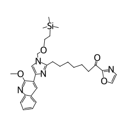 COc1nc2ccccc2cc1-c1cn(COCC[Si](C)(C)C)c(CCCCCCC(=O)c2ncco2)n1